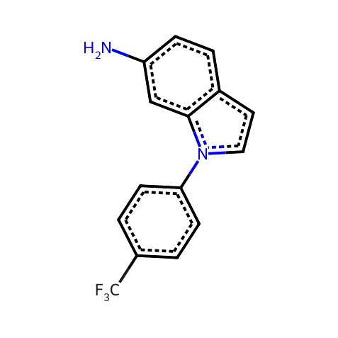 Nc1ccc2ccn(-c3ccc(C(F)(F)F)cc3)c2c1